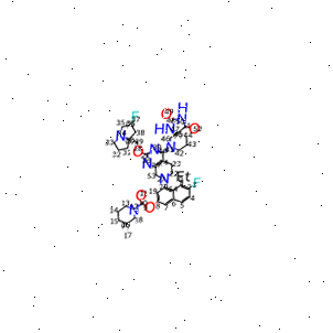 CCc1c(F)ccc2cc(OC(=O)N3CCC[C@@H](C)C3)cc(N3CCc4c(nc(OC[C@@]56CCCN5C[C@H](F)C6)nc4N4CCC[C@]5(C4)NC(=O)NC5=O)C3)c12